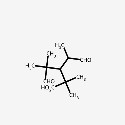 CC(C=O)C(C(C)(C)C=O)C(C)(C)C(=O)O